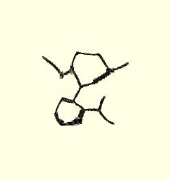 CSN1CCN(C)CC1c1ccccc1C(C)C